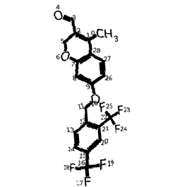 CC1=C(C=O)COc2cc(OCc3ccc(C(F)(F)F)cc3C(F)(F)F)ccc21